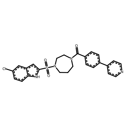 O=C(c1ccc(-c2ccncc2)cc1)N1CCCN(S(=O)(=O)c2cc3cc(Cl)ccc3[nH]2)CC1